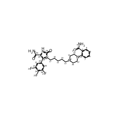 NC(=O)c1ccccc1N1CCN(CCCCCn2c(-c3cc(F)c(F)c(F)c3)c(C(N)=O)[nH]c2=O)CC1